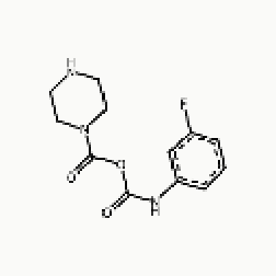 O=C(Nc1cccc(F)c1)OC(=O)N1CCNCC1